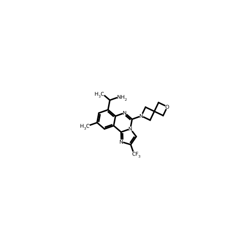 Cc1cc(C(C)N)c2nc(N3CC4(COC4)C3)n3cc(C(F)(F)F)nc3c2c1